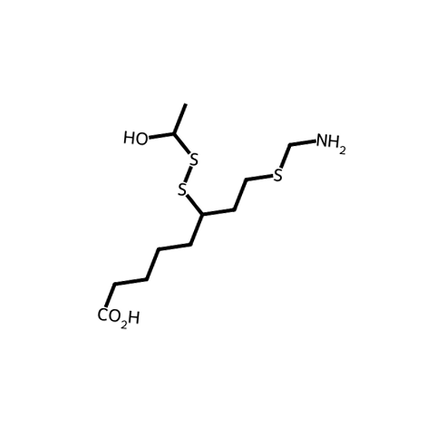 CC(O)SSC(CCCCC(=O)O)CCSCN